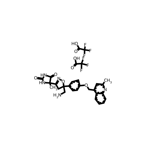 Cc1cc(COc2ccc(C3(CN)CC(C4(C)NC(=O)NC4=O)=NO3)cc2)c2ccccc2n1.O=C(O)C(F)(F)F.O=C(O)C(F)(F)F